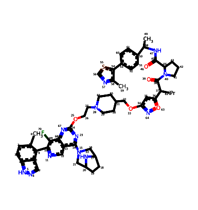 Cc1ccc2[nH]ncc2c1-c1ncc2c(N3CC4CCC(C3)N4)nc(OCCN3CCC(COc4cc(C(C(=O)N5CCCC5C(=O)NC(C)c5ccc(-c6scnc6C)cc5)C(C)C)on4)CC3)nc2c1F